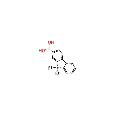 CC[Si]1(CC)c2ccccc2-c2ccc(B(O)O)cc21